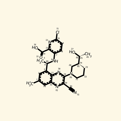 Cc1cc([C@@H](C)Nc2ccc(Cl)nc2C(=O)O)c2nc(N3CCC[C@@H]([C@@H](C)O)C3)c(C#N)nc2c1